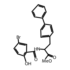 COC(=O)C(Cc1ccc(-c2ccccc2)cc1)NC(=O)c1cc(Br)ccc1O